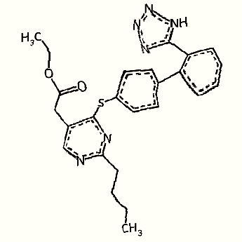 CCCCc1ncc(CC(=O)OCC)c(Sc2ccc(-c3ccccc3-c3nnn[nH]3)cc2)n1